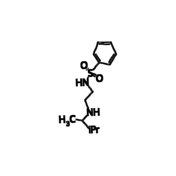 CC(C)C(C)NCCNS(=O)(=O)c1ccccc1